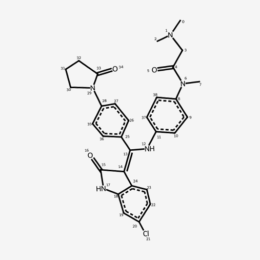 CN(C)CC(=O)N(C)c1ccc(NC(=C2C(=O)Nc3cc(Cl)ccc32)c2ccc(N3CCCC3=O)cc2)cc1